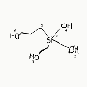 OC[Si](O)(O)O